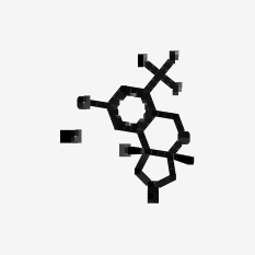 C[C@@]12CNC[C@@H]1c1cc(Cl)cc(C(F)(F)F)c1CO2.Cl